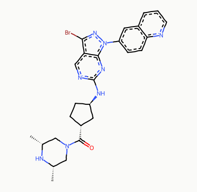 C[C@@H]1CN(C(=O)[C@@H]2CC[C@@H](Nc3ncc4c(Br)nn(-c5ccc6ncccc6c5)c4n3)C2)C[C@H](C)N1